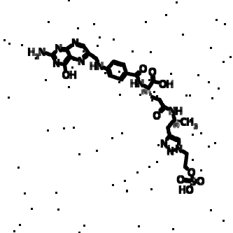 C[C@H](Cc1cn(CCOS(=O)(=O)O)nn1)NC(=O)CC[C@H](NC(=O)c1ccc(NCc2cnc3nc(N)nc(O)c3n2)cc1)C(=O)O